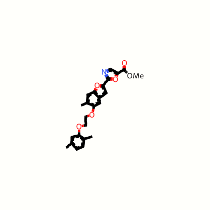 COC(=O)c1cnc(-c2cc3cc(OCCOc4cc(C)ccc4C)c(C)cc3o2)o1